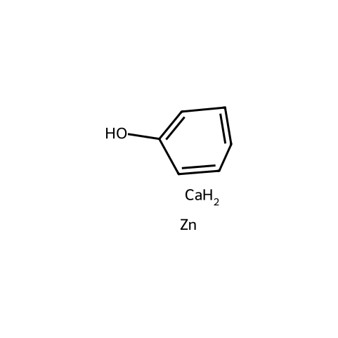 Oc1ccccc1.[CaH2].[Zn]